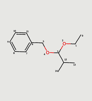 CCOC(OCc1ccccc1)C(C)C